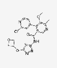 COc1c(C)ncc(C(=O)Nc2nnc(OC3COC3)s2)c1-c1ccnc(Cl)c1